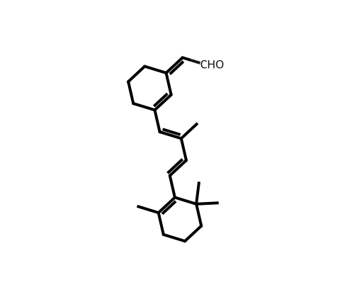 CC(C=CC1=C(C)CCCC1(C)C)=CC1=CC(=CC=O)CCC1